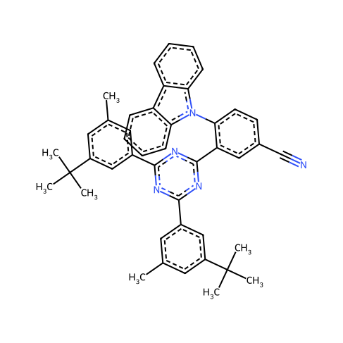 Cc1cc(-c2nc(-c3cc(C)cc(C(C)(C)C)c3)nc(-c3cc(C#N)ccc3-n3c4ccccc4c4ccccc43)n2)cc(C(C)(C)C)c1